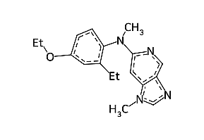 CCOc1ccc(N(C)c2cc3c(cn2)ncn3C)c(CC)c1